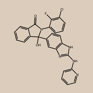 O=C1c2ccccc2C(O)(c2ccc3[nH]c(Nc4ccccn4)nc3c2)N1c1cccc(Cl)c1F